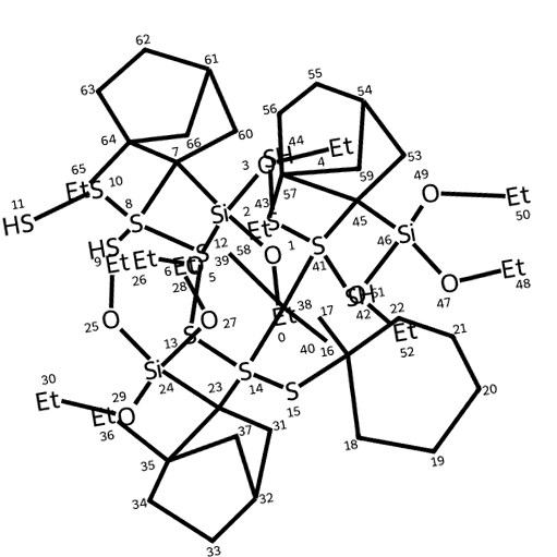 CCO[Si](OCC)(OCC)C1(S(S)(SS)SSS(SC2(C)CCCCC2)(C2([Si](OCC)(OCC)OCC)CC3CCC2(CC)C3)C(C)(C)S(S)(SS)C2([Si](OCC)(OCC)OCC)CC3CCC2(CC)C3)CC2CCC1(CC)C2